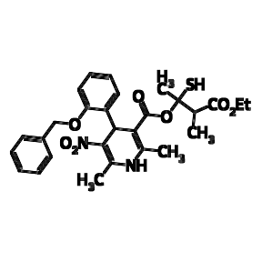 CCOC(=O)C(C)C(C)(S)OC(=O)C1=C(C)NC(C)=C([N+](=O)[O-])C1c1ccccc1OCc1ccccc1